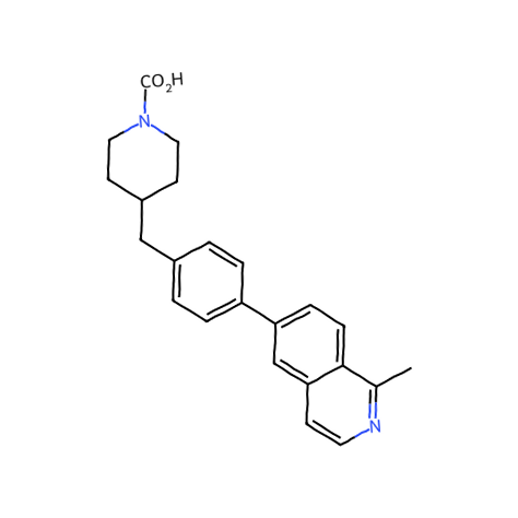 Cc1nccc2cc(-c3ccc(CC4CCN(C(=O)O)CC4)cc3)ccc12